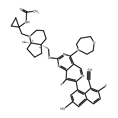 C#Cc1c(F)ccc2cc(O)cc(-c3ncc4c(N5CCCOCC5)nc(OC[C@]56CCC[C@H]5N(CC5(NC(C)=O)CC5)CCC6)nc4c3F)c12